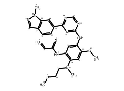 C=CC(=O)Nc1cc(Nc2ncnc(-c3ccc4cnn(C)c4c3)n2)c(OC)cc1N(C)CCOC